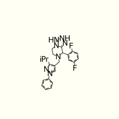 CC(C)c1nn(-c2ccccc2)cc1CN1CCN2NNN=C2C1c1cc(F)ccc1F